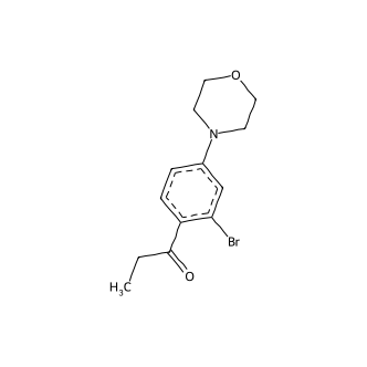 CCC(=O)c1ccc(N2CCOCC2)cc1Br